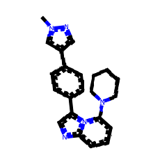 Cn1cc(-c2ccc(-c3cnc4cccc(N5CCCCC5)n34)cc2)cn1